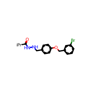 CC(C)C(=O)NNCc1ccc(OCc2cccc(Br)c2)cc1